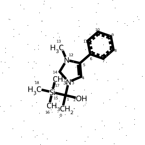 [CH2]C(O)(N1C=C(c2ccccc2)N(C)C1)[Si](C)(C)C